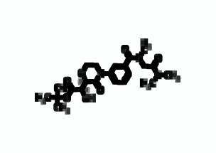 CN(C)C(=O)CN(C)C(=O)c1cccc(N2CCO[C@H]([C@@H](O)C(=O)OC(C)(C)C)C2=O)c1